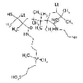 CCC(CC(C)(C(=O)NCCS)C(C)(C)C(C)(C)CC(C)(C(=O)NCCC[N+](C)(C)CCCS(=O)(=O)O)C(C)(S)CC)C(C)(C)C#N